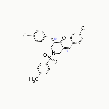 Cc1ccc(S(=O)(=O)N2C/C(=C/c3ccc(Cl)cc3)C(=O)/C(=C/c3ccc(Cl)cc3)C2)cc1